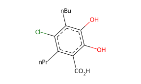 CCCCc1c(O)c(O)c(C(=O)O)c(CCC)c1Cl